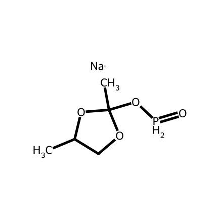 CC1COC(C)(O[PH2]=O)O1.[Na]